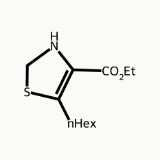 CCCCCCC1=C(C(=O)OCC)NCS1